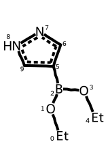 CCOB(OCC)c1cn[nH]c1